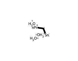 CCC[CH2][Sn].O.O.O